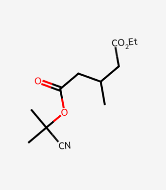 CCOC(=O)CC(C)CC(=O)OC(C)(C)C#N